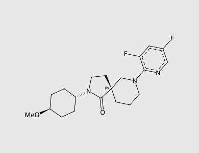 CO[C@H]1CC[C@H](N2CC[C@@]3(CCCN(c4ncc(F)cc4F)C3)C2=O)CC1